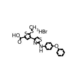 Br.CSc1sc(C(=O)O)cc1-c1csc(Nc2ccc(Oc3ccccc3)cc2)n1